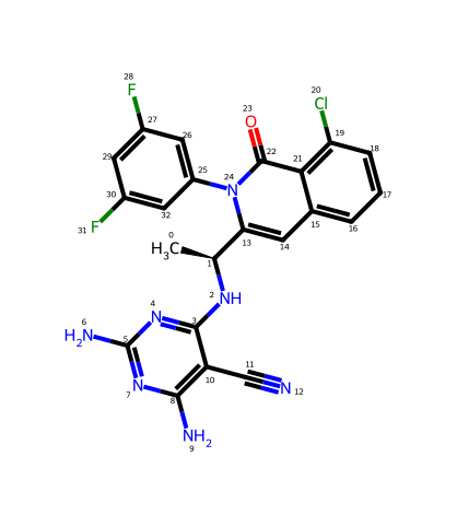 C[C@H](Nc1nc(N)nc(N)c1C#N)c1cc2cccc(Cl)c2c(=O)n1-c1cc(F)cc(F)c1